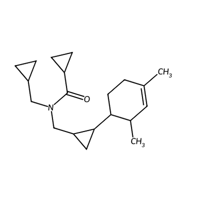 CC1=CC(C)C(C2CC2CN(CC2CC2)C(=O)C2CC2)CC1